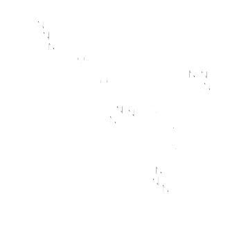 [N-]=[N+]=NCCOCCOCCOCC(=O)OCC(COCc1cn(C2CCCCCC2)nn1)(COCc1cn(C2CCCCCC2)nn1)COCc1cn(C2CCCCCC2)nn1